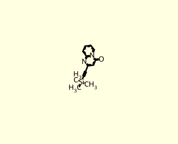 C[Si](C)(C)C#Cc1cc(=O)n2ccccc2n1